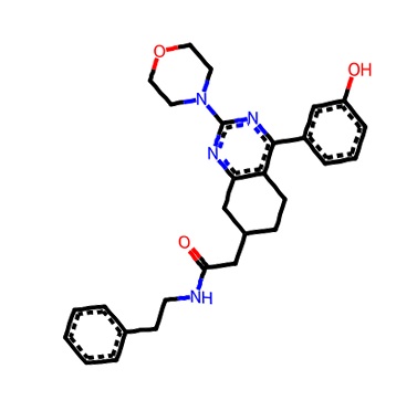 O=C(CC1CCc2c(nc(N3CCOCC3)nc2-c2cccc(O)c2)C1)NCCc1ccccc1